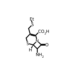 CCSCC1=C(C(=O)O)N2C(=O)C(N)[C@@H]2SC1